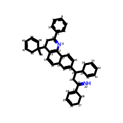 CC1(C2CC(c3ccccc3)=NC3=C2C=CC2C=C(C(CC(=N)C4=CC=CCC4)C4C=CC=CC4)C=CC32)C=CC=CC1